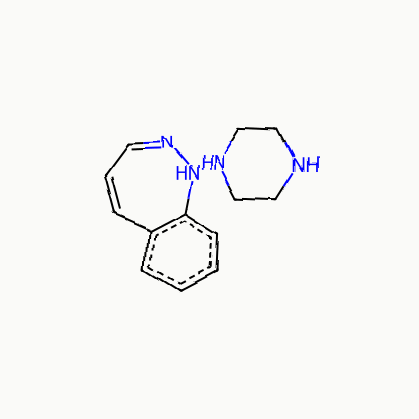 C1=Cc2ccccc2NN=C1.C1CNCCN1